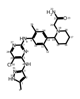 Cc1cc(Nc2nc(Nc3cc(C)c(C4CCCCN4CC(N)=O)cc3C)ncc2Cl)n[nH]1